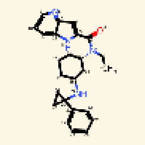 CCN(C(=O)c1cc2ncccc2[nH]1)[C@H]1CCC[C@H](NC2(c3ccccc3)CC2)C1